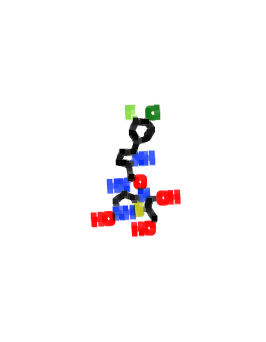 O=C(NC(CNO)c1nc(O)c(CO)s1)c1ccc(-c2ccc(Cl)c(F)c2)[nH]1